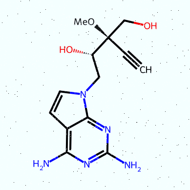 C#C[C@](CO)(OC)[C@@H](O)Cn1ccc2c(N)nc(N)nc21